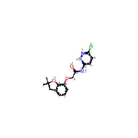 CC1(C)Cc2cccc(OCC(=O)Nc3ccc(Cl)nn3)c2O1